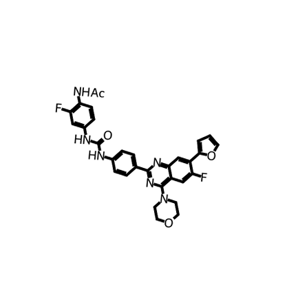 CC(=O)Nc1ccc(NC(=O)Nc2ccc(-c3nc(N4CCOCC4)c4cc(F)c(-c5ccco5)cc4n3)cc2)cc1F